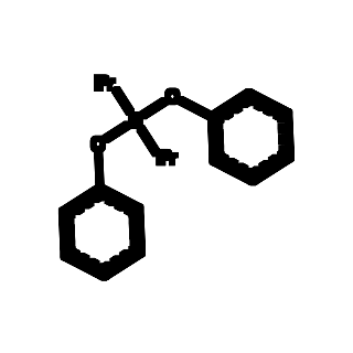 CC(C)[Si](Oc1ccccc1)(Oc1ccccc1)C(C)C